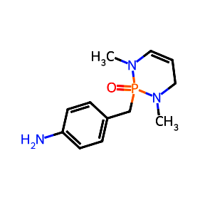 CN1C=CCN(C)P1(=O)Cc1ccc(N)cc1